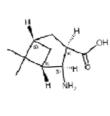 CC1(C)[C@H]2C[C@@H]1[C@H](N)[C@H](C(=O)O)C2